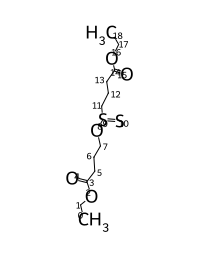 CCOC(=O)CCCOS(=S)CCCC(=O)OCC